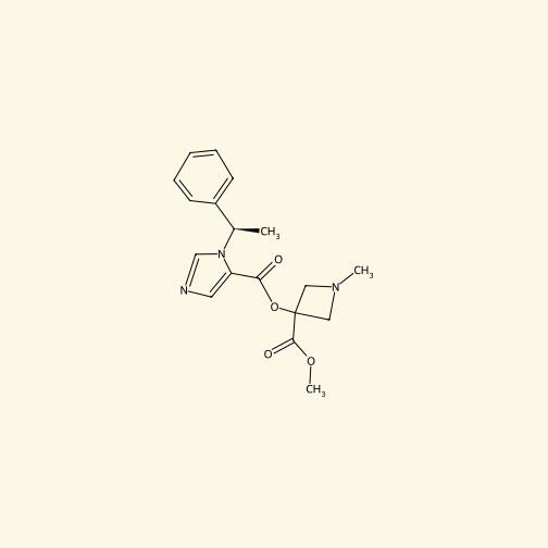 COC(=O)C1(OC(=O)c2cncn2[C@H](C)c2ccccc2)CN(C)C1